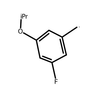 [CH2]c1cc(F)cc(OC(C)C)c1